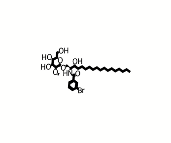 CCCCCCCCCCCCCCCC(O)[C@H](COC1OC(CO)C(O)C(O)C1OC)NC(=O)c1cccc(Br)c1